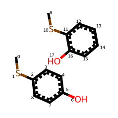 CSc1ccc(O)cc1.CSc1ccccc1O